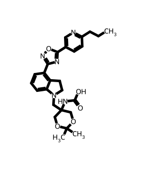 CCCc1ccc(-c2nc(-c3cccc4c3CCN4CC3(NC(=O)O)COC(C)(C)OC3)no2)cn1